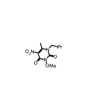 COn1c(=O)c([N+](=O)[O-])c(C)n(CC(C)C)c1=O